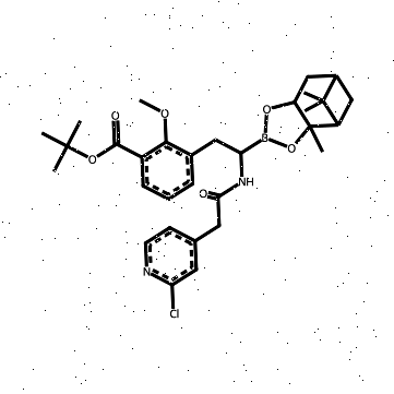 COc1c(CC(NC(=O)Cc2ccnc(Cl)c2)B2OC3CC4CC(C4(C)C)C3(C)O2)cccc1C(=O)OC(C)(C)C